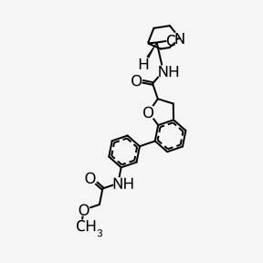 COCC(=O)Nc1cccc(-c2cccc3c2OC(C(=O)N[C@H]2CN4CCC2CC4)C3)c1